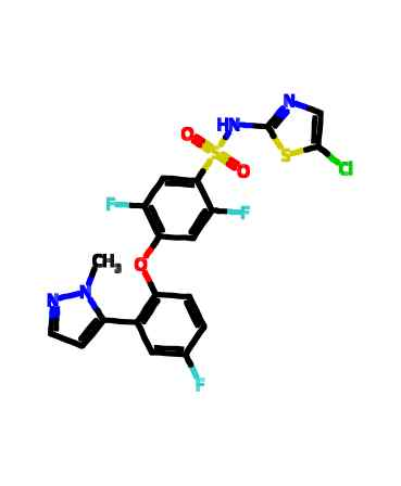 Cn1nccc1-c1cc(F)ccc1Oc1cc(F)c(S(=O)(=O)Nc2ncc(Cl)s2)cc1F